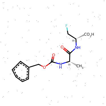 C[C@H](NC(=O)OCc1ccccc1)C(=O)N[C@H](CF)C(=O)O